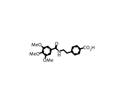 COc1cc(C(=O)NCCc2ccc(C(=O)O)cc2)cc(OC)c1OC